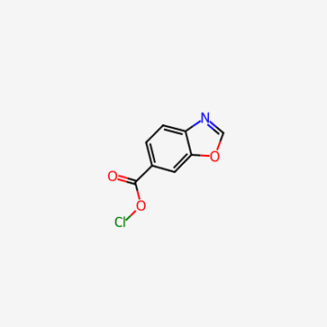 O=C(OCl)c1ccc2ncoc2c1